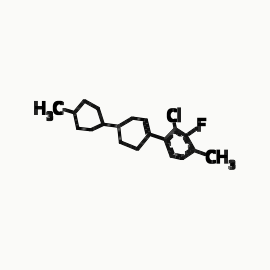 Cc1ccc(C2=CCC(C3CCC(C)CC3)CC2)c(Cl)c1F